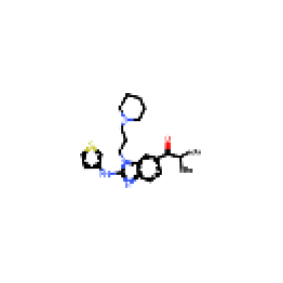 CCCCC(CCCC)C(=O)c1ccc2nc(Nc3ccsc3)n(CCCN3CCCCC3)c2c1